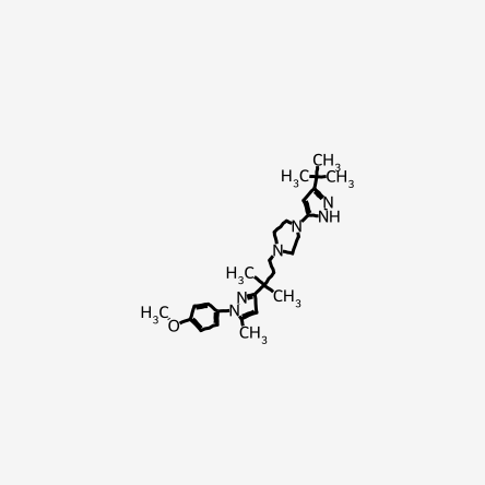 COc1ccc(-n2nc(C(C)(C)CCN3CCN(c4cc(C(C)(C)C)n[nH]4)CC3)cc2C)cc1